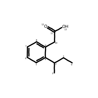 CCC(C)c1ccccc1CC(=O)O